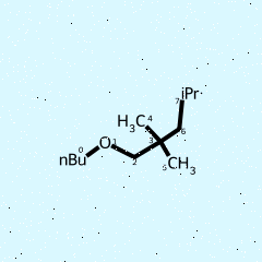 CCCCOCC(C)(C)C[C](C)C